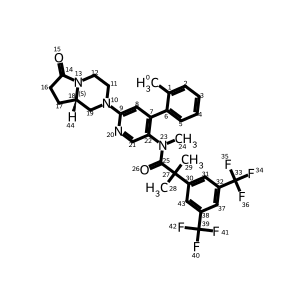 Cc1ccccc1-c1cc(N2CCN3C(=O)CC[C@H]3C2)ncc1N(C)C(=O)C(C)(C)c1cc(C(F)(F)F)cc(C(F)(F)F)c1